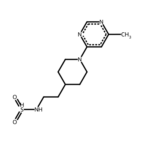 Cc1cc(N2CCC(CCN[SH](=O)=O)CC2)ncn1